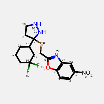 O=[N+]([O-])c1ccc2oc(CSC3(C4CCCC(F)(F)C4)CCNN3)nc2c1